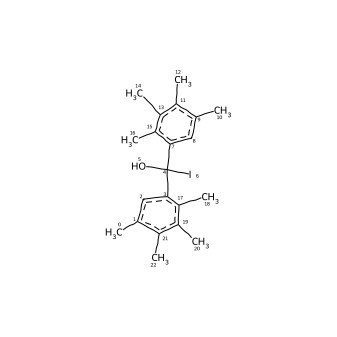 Cc1cc(C(O)(I)c2cc(C)c(C)c(C)c2C)c(C)c(C)c1C